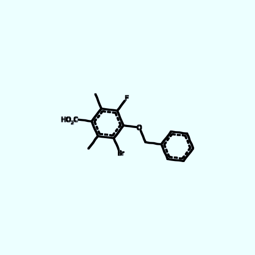 Cc1c(F)c(OCc2ccccc2)c(Br)c(C)c1C(=O)O